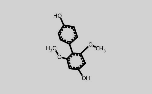 COc1cc(O)cc(OC)c1-c1ccc(O)cc1